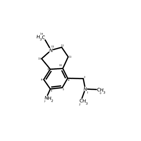 CN(C)Cc1cc(N)cc2c1CCN(C)C2